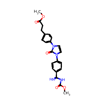 COC(=O)CCc1ccc(-n2ccn(-c3ccc(C(=N)NC(=O)OC)cc3)c2=O)cc1